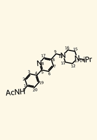 CC(=O)Nc1ccc(-c2ccc(CN3CCN(C(C)C)CC3)cn2)cc1